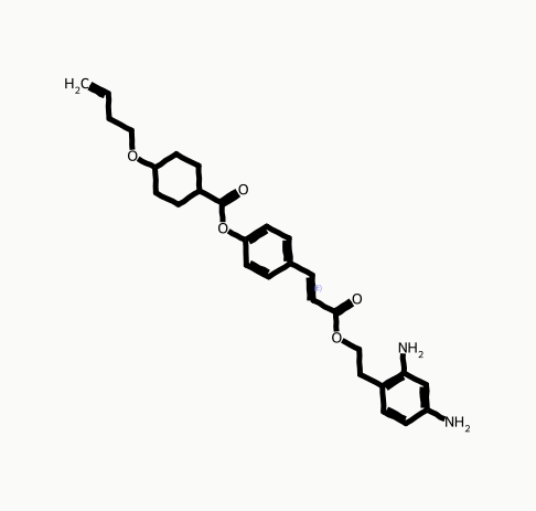 C=CCCOC1CCC(C(=O)Oc2ccc(/C=C/C(=O)OCCc3ccc(N)cc3N)cc2)CC1